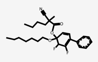 CCCCCCCOC1(OC(=O)C(C)(C#N)CCCC)C=CC(c2ccccc2)=C(F)C1F